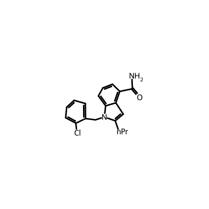 CCCc1cc2c(C(N)=O)cccc2n1Cc1ccccc1Cl